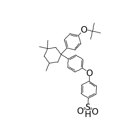 CC1CC(C)(C)CC(c2ccc(Oc3ccc([SH](=O)=O)cc3)cc2)(c2ccc(OC(C)(C)C)cc2)C1